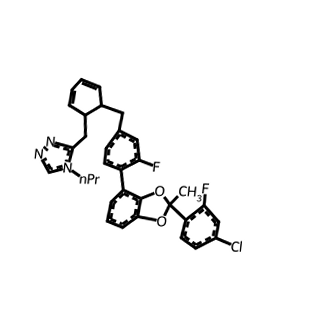 CCCn1cnnc1CC1C=CC=CC1Cc1ccc(-c2cccc3c2OC(C)(c2ccc(Cl)cc2F)O3)c(F)c1